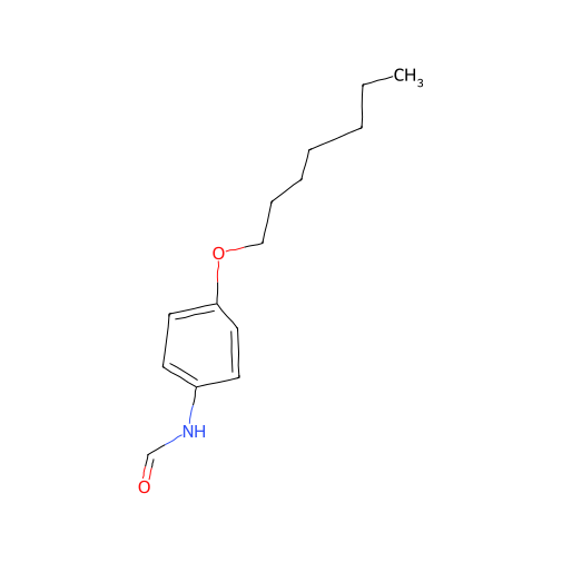 CCCCCCCOc1ccc(NC=O)cc1